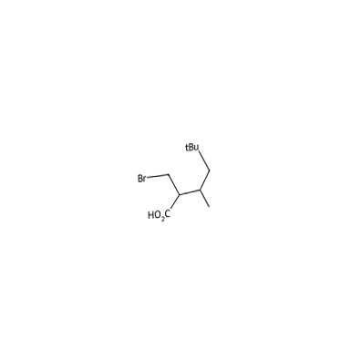 CC(CC(C)(C)C)C(CBr)C(=O)O